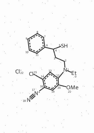 CCN(CCC(S)c1ccccc1)c1cc(Cl)c([N+]#N)cc1OC.[Cl-]